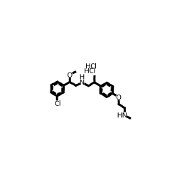 CNCCOc1ccc(C(C)CNCC(OC)c2cccc(Cl)c2)cc1.Cl.Cl